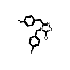 O=c1onc(Cc2ccc(F)cc2)n1Cc1ccc(F)cc1